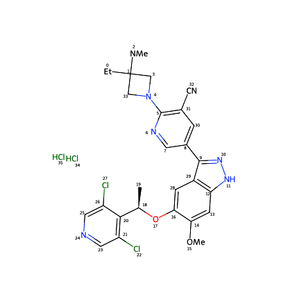 CCC1(NC)CN(c2ncc(-c3n[nH]c4cc(OC)c(O[C@H](C)c5c(Cl)cncc5Cl)cc34)cc2C#N)C1.Cl.Cl